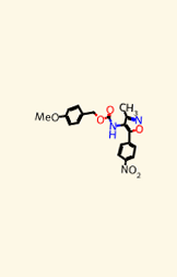 COc1ccc(COC(=O)Nc2c(C)noc2-c2ccc([N+](=O)[O-])cc2)cc1